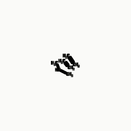 C=C.C=C.CNC